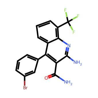 NC(=O)c1c(N)nc2c(C(F)(F)F)cccc2c1-c1cccc(Br)c1